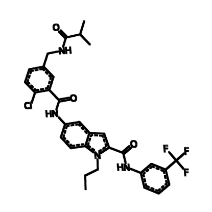 CCCn1c(C(=O)Nc2cccc(C(F)(F)F)c2)cc2cc(NC(=O)c3cc(CNC(=O)C(C)C)ccc3Cl)ccc21